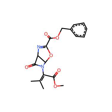 COC(=O)C(=C(C)C)N1C(=O)C2N=C(C(=O)OCc3ccccc3)OC21